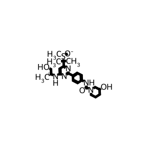 C[C@@H](CO)Nc1cc(C(C)(C)[S+](C)[O-])nc(-c2ccc(NC(=O)N3CCCC(O)C3)cc2)n1